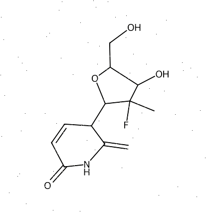 C=C1NC(=O)C=CC1C1OC(CO)C(O)C1(C)F